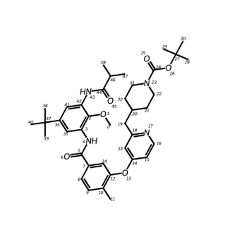 COc1c(NC(=O)c2ccc(C)c(Oc3ccnc(CC4CCN(C(=O)OC(C)(C)C)CC4)c3)c2)cc(C(C)(C)C)cc1NC(=O)C(C)C